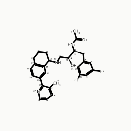 CC(=O)N[C@@H](Cc1cc(F)cc(F)c1)[C@@H](O)CNC1CCCc2ccc(-c3ncccc3C)cc21